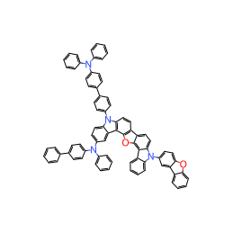 c1ccc(-c2ccc(N(c3ccccc3)c3ccc4c(c3)c3c5oc6c(ccc7c6c6ccccc6n7-c6ccc7oc8ccccc8c7c6)c5ccc3n4-c3ccc(-c4ccc(N(c5ccccc5)c5ccccc5)cc4)cc3)cc2)cc1